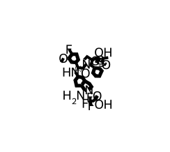 CCS(=O)(=O)c1ccccc1C1C(C(=O)O)CCN1C(=O)[C@H](Nc1ccc2c(N)nccc2c1)c1ccc(F)c(OC)c1.O=C(O)C(F)(F)F